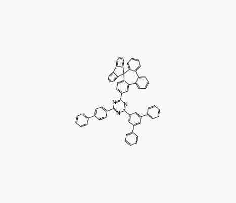 c1ccc(-c2ccc(-c3nc(-c4cc(-c5ccccc5)cc(-c5ccccc5)c4)nc(-c4ccc5c(c4)-c4ccccc4-c4ccccc4C54c5ccccc5-c5ccccc54)n3)cc2)cc1